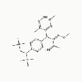 CO/N=C(\C(C)=N)C(C(=N/OC)/C(C)=N\O)c1ccc(C(CC(C)(C)C)C(C)(C)C)cc1